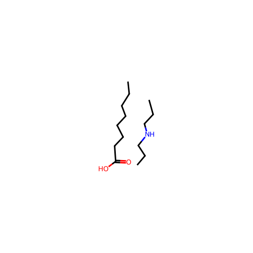 CCCCCCCC(=O)O.CCCNCCC